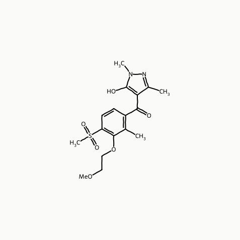 COCCOc1c(S(C)(=O)=O)ccc(C(=O)c2c(C)nn(C)c2O)c1C